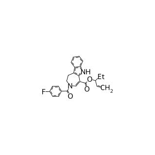 C=CC(CC)OC(=O)C1=CN(C(=O)c2ccc(F)cc2)CCc2c1[nH]c1ccccc21